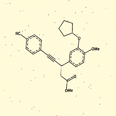 COC(=O)C[C@H](C#Cc1ccc(C#N)cc1)c1ccc(OC)c(OC2CCCC2)c1